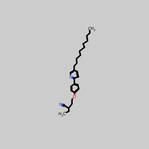 CCCCCCCCCCCc1ccc(-c2ccc(OCCC(C#N)CC)cc2)nc1